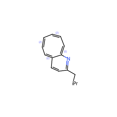 CC(C)Cc1ccc2/c(n1)=C\C=C/C=C\C=2